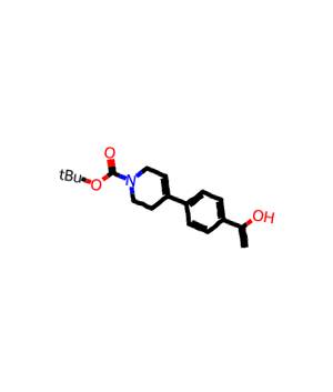 C=C(O)c1ccc(C2=CCN(C(=O)OC(C)(C)C)CC2)cc1